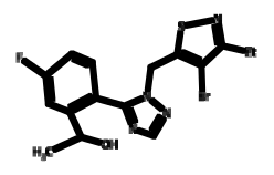 CCc1nsc(Cn2ncnc2-c2ccc(F)cc2C(C)O)c1Br